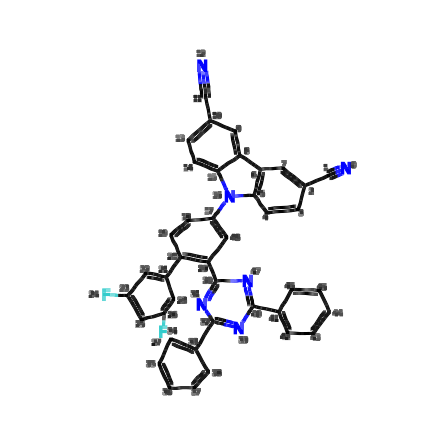 N#Cc1ccc2c(c1)c1cc(C#N)ccc1n2-c1ccc(-c2cc(F)cc(F)c2)c(-c2nc(-c3ccccc3)nc(-c3ccccc3)n2)c1